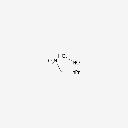 CCCC[N+](=O)[O-].O=NO